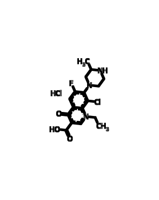 CCn1cc(C(=O)O)c(=O)c2cc(F)c(N3CCNC(C)C3)c(Cl)c21.Cl